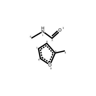 CNC=O.Cc1ccco1